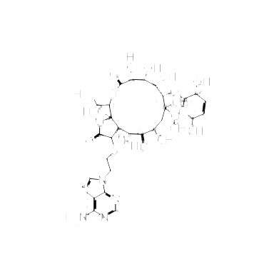 CC[C@H]1OC(=O)[C@H](C)[C@@H](O)[C@H](C)[C@@H](O[C@@H]2O[C@H](C)C=C[C@H]2O)[C@](C)(OC)C[C@@H](C)C(=O)[C@H](C)[C@H]2C(SCCn3cnc4c(N)ncnc43)C(=O)O[C@@]21C